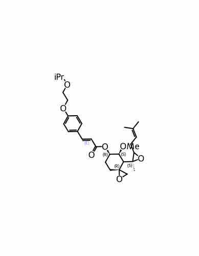 CO[C@H]1C([C@]2(C)OC2CC=C(C)C)[C@]2(CC[C@H]1OC(=O)/C=C/c1ccc(OCCOC(C)C)cc1)CO2